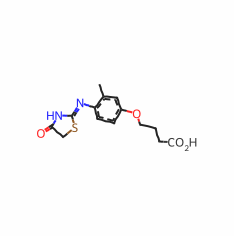 Cc1cc(OCCCC(=O)O)ccc1/N=C1/NC(=O)CS1